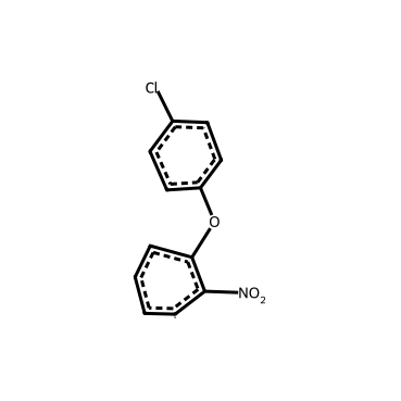 O=[N+]([O-])c1[c]cccc1Oc1ccc(Cl)cc1